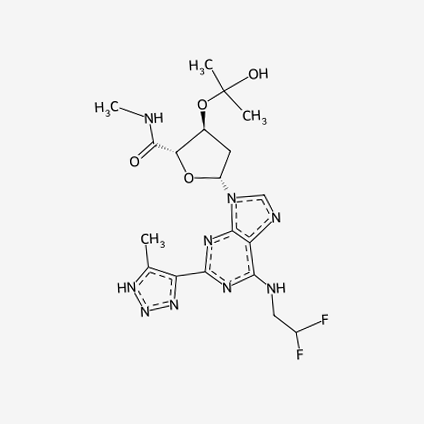 CNC(=O)[C@H]1O[C@@H](n2cnc3c(NCC(F)F)nc(-c4nn[nH]c4C)nc32)C[C@@H]1OC(C)(C)O